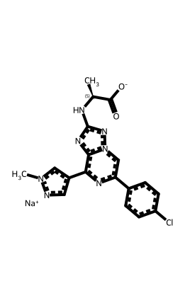 C[C@H](Nc1nc2c(-c3cnn(C)c3)nc(-c3ccc(Cl)cc3)cn2n1)C(=O)[O-].[Na+]